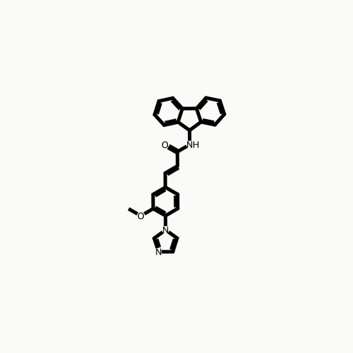 COc1cc(/C=C/C(=O)NC2c3ccccc3-c3ccccc32)ccc1-n1ccnc1